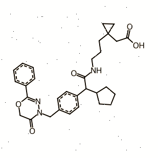 O=C(O)CC1(CCCNC(=O)C(c2ccc(CN3N=C(c4ccccc4)OCC3=O)cc2)C2CCCC2)CC1